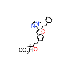 Cn1ccnc1C1=Cc2cc(CCC(=O)C(C)(C)C(=O)O)ccc2OC1CCc1ccccc1